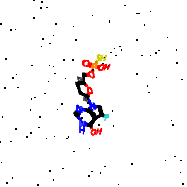 O=P(O)(S)OC[C@@H]1CC[C@H](n2cc(F)c3c2N=CNC3O)O1